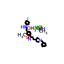 CNC.Cc1c(CC(=O)Nc2ccc(F)cc2)ccc2c(CCC3CCN(Cc4ccccc4)CC3)noc12.Cl.Cl